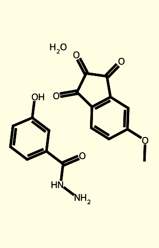 COc1ccc2c(=O)c(=O)c(=O)c2c1.NNC(=O)c1cccc(O)c1.O